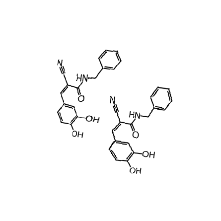 N#CC(=Cc1ccc(O)c(O)c1)C(=O)NCc1ccccc1.N#CC(=Cc1ccc(O)c(O)c1)C(=O)NCc1ccccc1